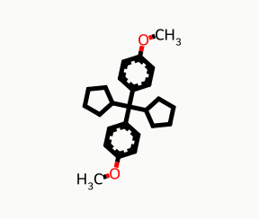 COc1ccc(C(c2ccc(OC)cc2)(C2CCCC2)C2CCCC2)cc1